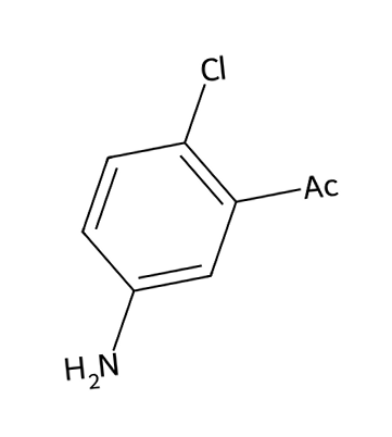 [CH2]C(=O)c1cc(N)ccc1Cl